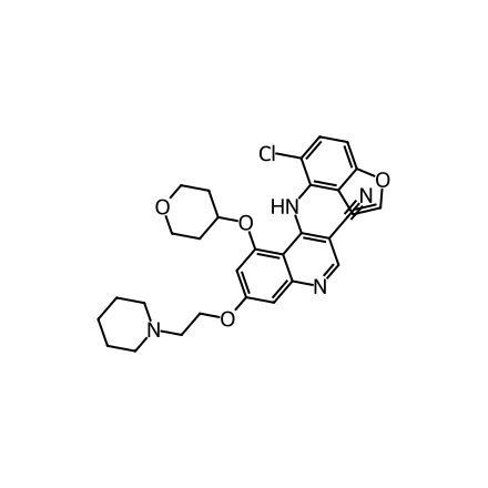 N#Cc1cnc2cc(OCCN3CCCCC3)cc(OC3CCOCC3)c2c1Nc1c(Cl)ccc2occc12